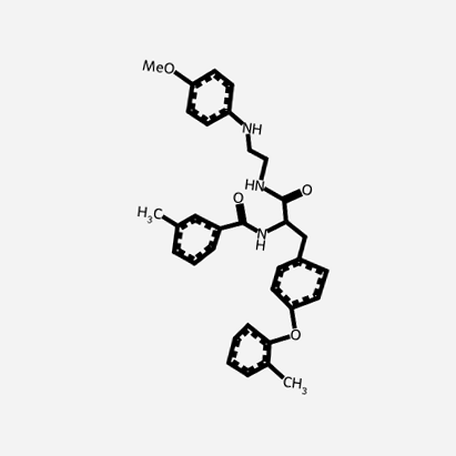 COc1ccc(NCCNC(=O)C(Cc2ccc(Oc3ccccc3C)cc2)NC(=O)c2cccc(C)c2)cc1